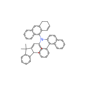 CC1(C)C2=CC(N(c3ccc4ccccc4c3-c3ccccc3)c3c4c(cc5ccccc35)CCC=C4)=CCC2c2ccccc21